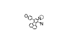 COc1ccc(-c2cc(N3CCCCC3)c(C#N)c3c2-c2cccc4cccc-3c24)cc1